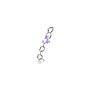 O=C(N[SH]1C=Cc2ccccc2C=N1)c1ccc(-c2ccc(Cl)c(F)c2)cc1